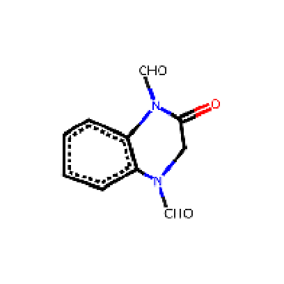 O=CN1CC(=O)N(C=O)c2ccccc21